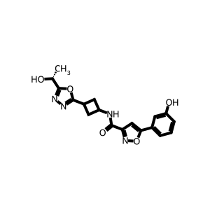 C[C@@H](O)c1nnc(C2CC(NC(=O)c3cc(-c4cccc(O)c4)on3)C2)o1